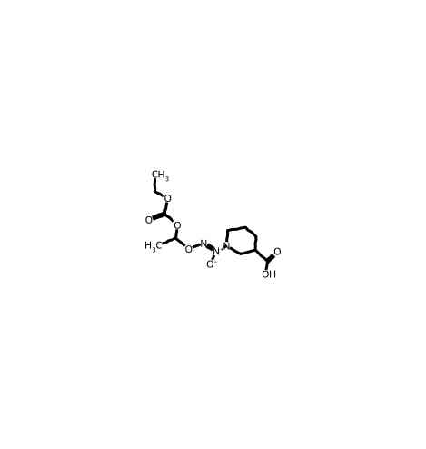 CCOC(=O)OC(C)ON=[N+]([O-])N1CCCC(C(=O)O)C1